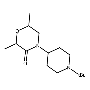 CC1CN(C2CCN(C(C)(C)C)CC2)C(=O)C(C)O1